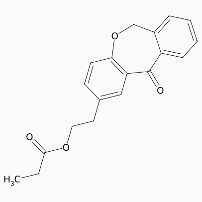 CCC(=O)OCCc1ccc2c(c1)C(=O)c1ccccc1CO2